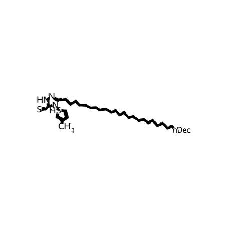 CCCCCCCCCCCCCCCCCCCCCCCCCCCCCCCCCC1=NNC(C=S)N1[SH]1C=CC(C)=C1